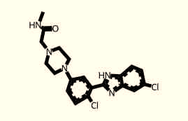 CNC(=O)CN1CCN(c2ccc(Cl)c(-c3nc4cc(Cl)ccc4[nH]3)c2)CC1